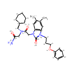 Cc1cc2c(cc1C)n(CC(=O)N(CC(N)=O)CC1CCCCC1)c(=O)n2CCCOc1ccccc1